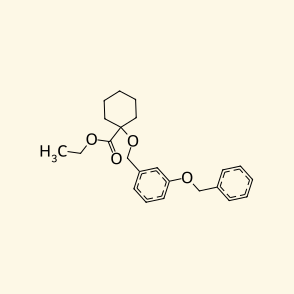 CCOC(=O)C1(OCc2cccc(OCc3ccccc3)c2)CCCCC1